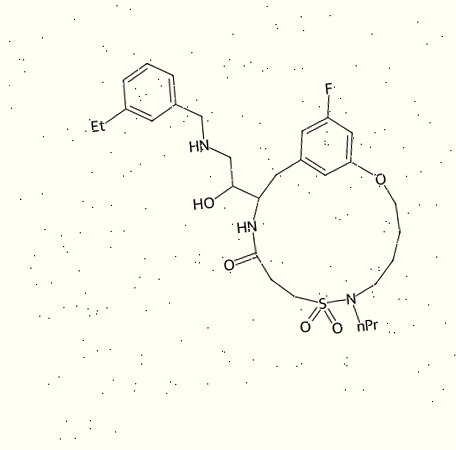 CCCN1CCCCOc2cc(F)cc(c2)CC(C(O)CNCc2cccc(CC)c2)NC(=O)CCS1(=O)=O